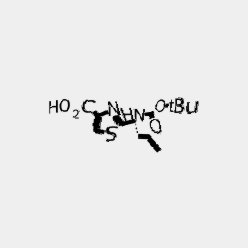 C=CC[C@@H](NC(=O)OC(C)(C)C)c1nc(C(=O)O)cs1